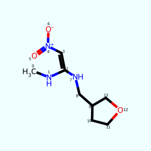 CNC(=C[N+](=O)[O-])NCC1CCOC1